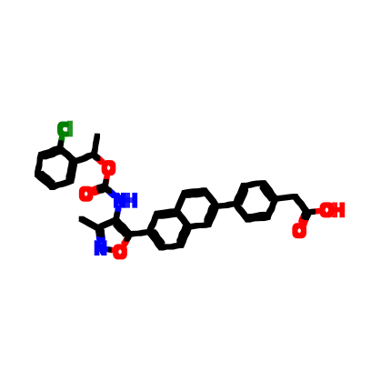 Cc1noc(-c2ccc3cc(-c4ccc(CC(=O)O)cc4)ccc3c2)c1NC(=O)OC(C)c1ccccc1Cl